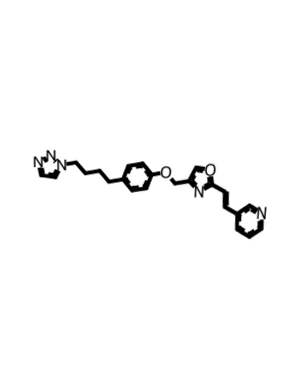 C(=Cc1nc(COc2ccc(CCCCn3ccnn3)cc2)co1)c1cccnc1